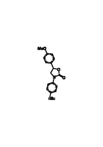 CCCCc1ccc(N2CC(c3ccc(OC)cc3)OC2=O)cc1